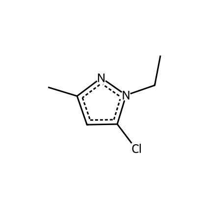 CCn1nc(C)cc1Cl